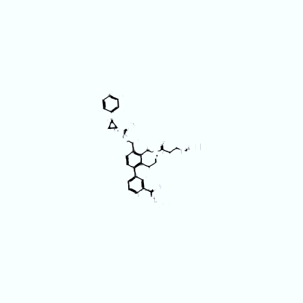 COCCC(=O)N1CCc2c(-c3cccc(C(=O)OC)c3)ccc(CNC(=O)[C@@H]3C[C@@H]3c3ccccc3)c2C1